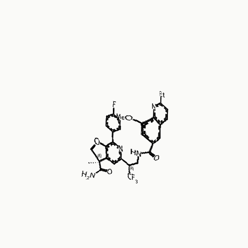 CCc1ccc2cc(C(=O)NC[C@H](c3cc4c(c(-c5ccc(F)cc5)n3)OC[C@]4(C)C(N)=O)C(F)(F)F)cc(OC)c2n1